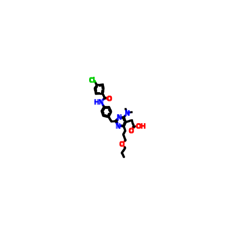 CCCOCCCc1nc(Cc2ccc(NC(=O)c3ccc(Cl)cc3)cc2)nc(N(C)C)c1CC(=O)O